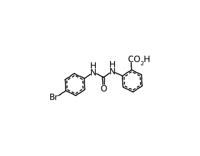 O=C(Nc1ccc(Br)cc1)Nc1ccccc1C(=O)O